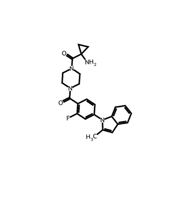 Cc1cc2ccccc2n1-c1ccc(C(=O)N2CCN(C(=O)C3(N)CC3)CC2)c(F)c1